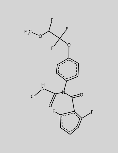 O=C(NCl)N(C(=O)c1c(F)cccc1F)c1ccc(OC(F)(F)C(F)OC(F)(F)F)cc1